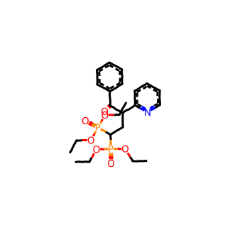 CCOP(=O)(OCC)C(CC(C(=O)c1ccccc1)c1ccccn1)P(=O)(OCC)OCC